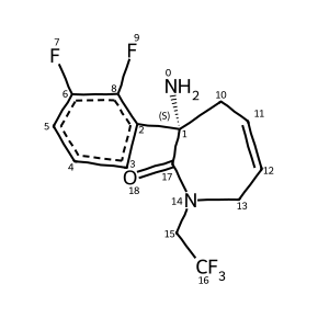 N[C@]1(c2cccc(F)c2F)CC=CCN(CC(F)(F)F)C1=O